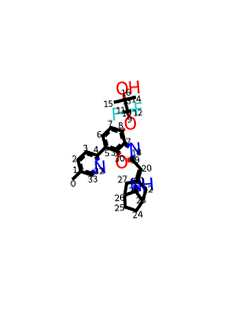 Cc1ccc(-c2ccc(OC(F)(F)C(C)(C)O)c3nc(C=C4CC5CCC(C4)C5=N)oc23)nc1